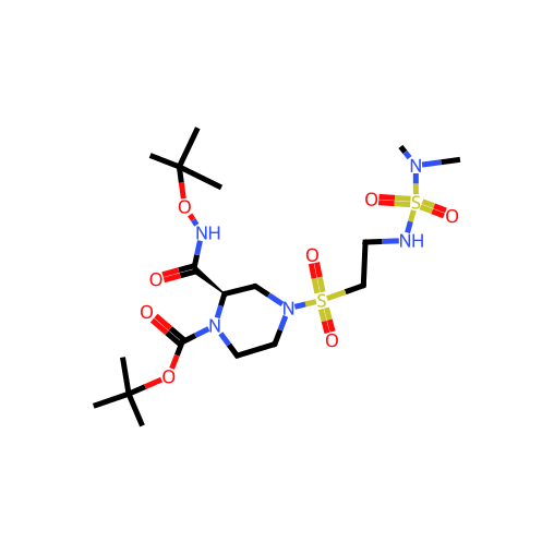 CN(C)S(=O)(=O)NCCS(=O)(=O)N1CCN(C(=O)OC(C)(C)C)[C@@H](C(=O)NOC(C)(C)C)C1